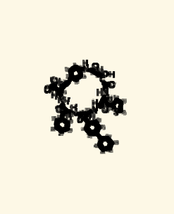 O=C1C[C@@H](O)C(=O)Nc2ccc(cc2)C[C@@H](C(=O)O)NC(=O)[C@H](Cc2ccccc2)NC(=O)[C@H](Cc2ccc(-c3ccccc3)cc2)NC(=O)[C@H](CC2CC=CS2)N1